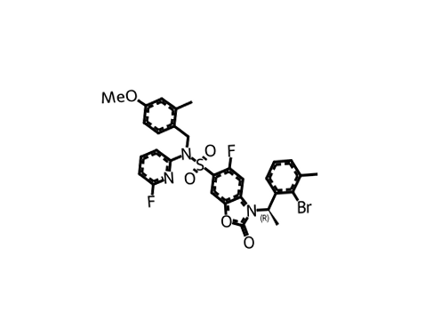 COc1ccc(CN(c2cccc(F)n2)S(=O)(=O)c2cc3oc(=O)n([C@H](C)c4cccc(C)c4Br)c3cc2F)c(C)c1